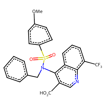 COc1ccc(S(=O)(=O)N(Cc2ccccc2)c2c(C(=O)O)cnc3c(C(F)(F)F)cccc23)cc1